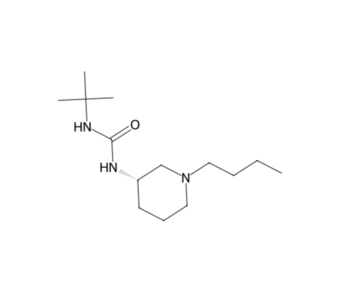 CCCCN1CCC[C@H](NC(=O)NC(C)(C)C)C1